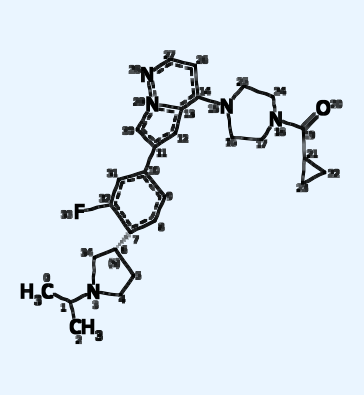 CC(C)N1CC[C@@H](c2ccc(-c3cc4c(N5CCN(C(=O)C6CC6)CC5)ccnn4c3)cc2F)C1